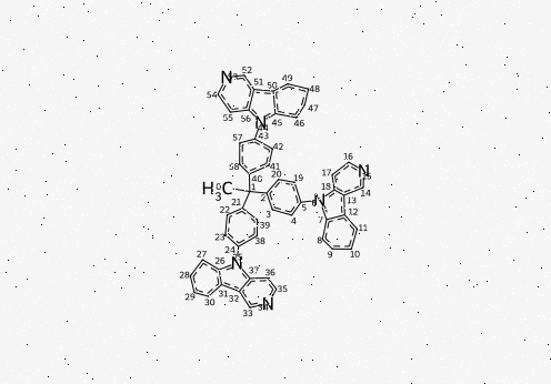 CC(c1ccc(-n2c3ccccc3c3cnccc32)cc1)(c1ccc(-n2c3ccccc3c3cnccc32)cc1)c1ccc(-n2c3ccccc3c3cnccc32)cc1